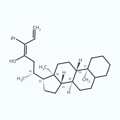 C=CC(=C(O)C[C@@H](C)[C@H]1CC[C@H]2[C@@H]3CCC4CCCC[C@]4(C)[C@H]3CC[C@]12C)C(C)C